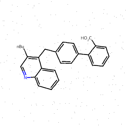 CCCCc1cnc2ccccc2c1Cc1ccc(-c2ccccc2C(=O)O)cc1